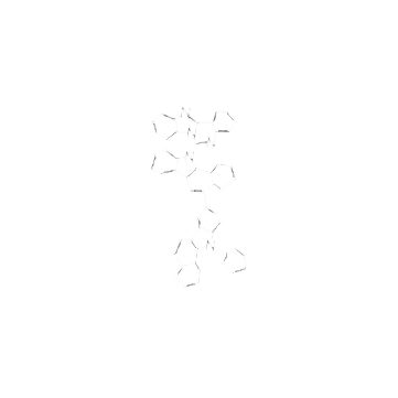 c1ccc(-n2c3ccc(-c4cc5c6ccccc6n(-c6nc7ccccc7c7nc8ccccc8n67)c5c5ccccc45)cc3c3ccc4ccccc4c32)cc1